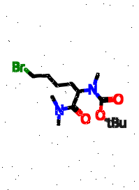 CN(C)C(=O)C(CCCCBr)N(C)C(=O)OC(C)(C)C